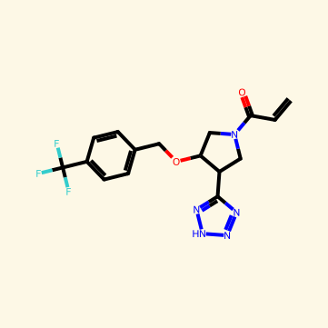 C=CC(=O)N1CC(OCc2ccc(C(F)(F)F)cc2)C(c2nn[nH]n2)C1